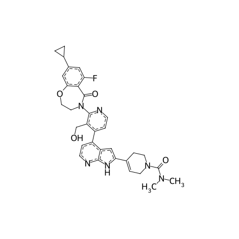 CN(C)C(=O)N1CC=C(c2cc3c(-c4ccnc(N5CCOc6cc(C7CC7)cc(F)c6C5=O)c4CO)ccnc3[nH]2)CC1